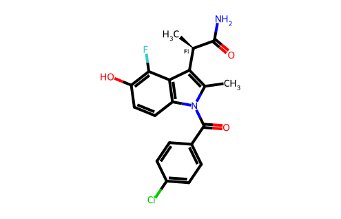 Cc1c([C@@H](C)C(N)=O)c2c(F)c(O)ccc2n1C(=O)c1ccc(Cl)cc1